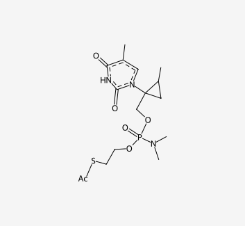 CC(=O)SCCOP(=O)(OCC1(n2cc(C)c(=O)[nH]c2=O)CC1C)N(C)C